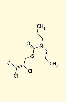 CCCN(CCC)C(=O)SCC(Cl)=C(Cl)Cl